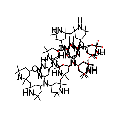 CN1C(C)(C)CC(ON2N=C(N(C3CC(C)(C)NC(C)(C)C3)C3CC(C)(C)NC(C)(C)C3)C=C(N(CCCN(C3=CC(N(C4CC(C)(C)NC(C)(C)C4)C4CC(C)(C)NC(C)(C)C4)=NN(OC4CC(C)(C)N(C)C(C)(C)C4)N3)C3CC(C)(C)NC(C)(C)C3)CCCN(C3=CC(N(C4CC(C)(C)NC(C)(C)C4)C4CC(C)(C)NC(C)(C)C4)=NN(OC4CC(C)(C)N(C)C(C)(C)C4)N3)C3CC(C)(C)NC(C)(C)C3)N2)CC1(C)C